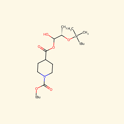 C[C@H](O[Si](C)(C)C(C)(C)C)C(O)OC(=O)C1CCN(C(=O)OC(C)(C)C)CC1